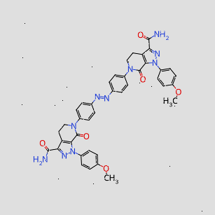 COc1ccc(-n2nc(C(N)=O)c3c2C(=O)N(c2ccc(N=Nc4ccc(N5CCc6c(C(N)=O)nn(-c7ccc(OC)cc7)c6C5=O)cc4)cc2)CC3)cc1